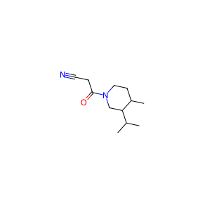 CC(C)C1CN(C(=O)CC#N)CCC1C